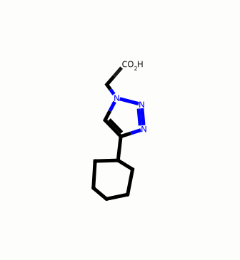 O=C(O)Cn1cc(C2CCCCC2)nn1